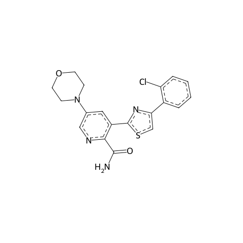 NC(=O)c1ncc(N2CCOCC2)cc1-c1nc(-c2ccccc2Cl)cs1